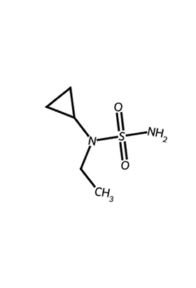 CCN(C1CC1)S(N)(=O)=O